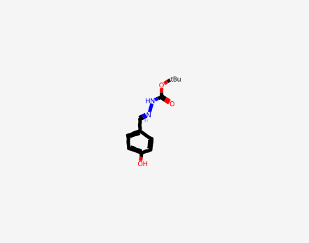 CC(C)(C)OC(=O)N/N=C/c1ccc(O)cc1